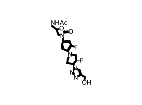 CC(=O)NCC1CN(c2ccc(N3CCC(n4cc(CO)nn4)[C@@H](F)C3)c(F)c2)C(=O)O1